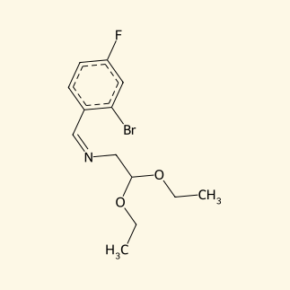 CCOC(C/N=C\c1ccc(F)cc1Br)OCC